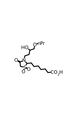 CCCOCC(O)CCN1C(=O)CS(=O)(=O)C1CCCCCCC(=O)O